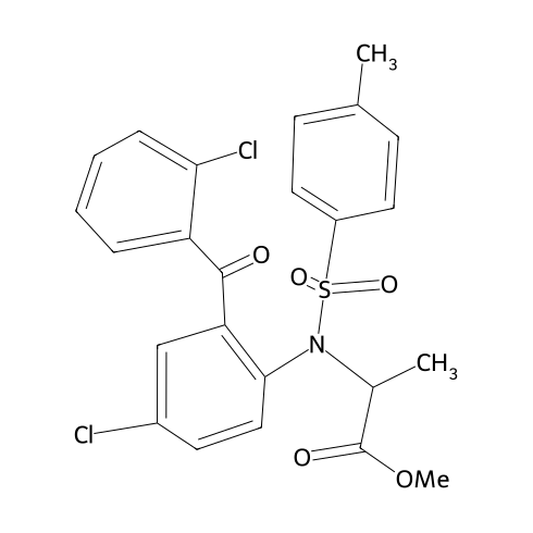 COC(=O)C(C)N(c1ccc(Cl)cc1C(=O)c1ccccc1Cl)S(=O)(=O)c1ccc(C)cc1